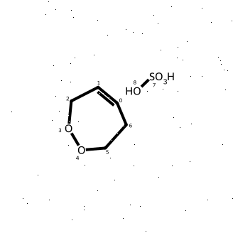 C1=CCOOCC1.O=S(=O)(O)O